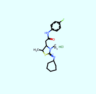 CC1S/C(=N\C2CCCCC2)N(C)C1CC(=O)Nc1ccc(F)cc1.Cl